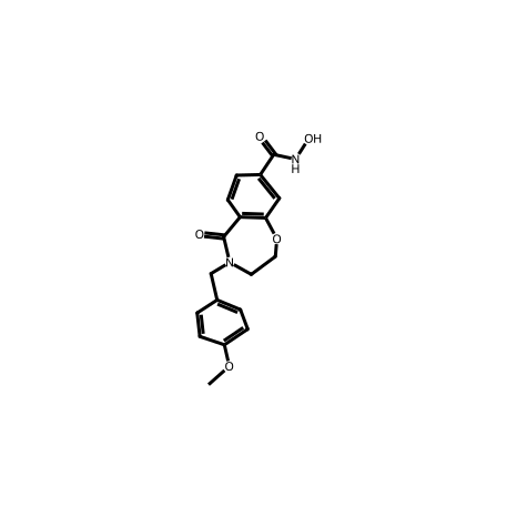 COc1ccc(CN2CCOc3cc(C(=O)NO)ccc3C2=O)cc1